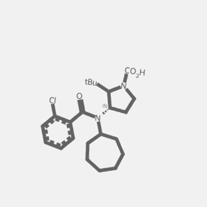 CC(C)(C)C1[C@@H](N(C(=O)c2ccccc2Cl)C2CCCCCC2)CCN1C(=O)O